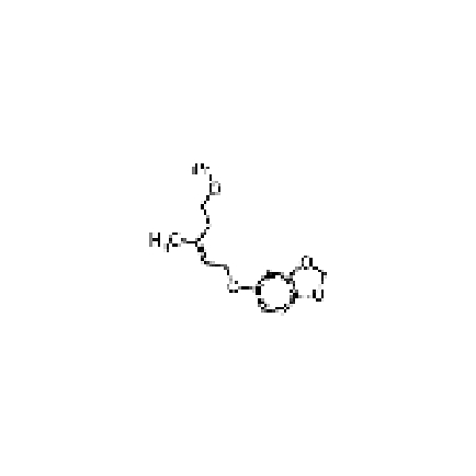 CC(=CCOc1ccc2c(c1)OCO2)CCOC(C)C